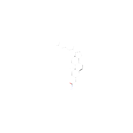 CNC(=O)CC1CCC2(C)C(=CCC3C2CCC2(C)C(C(C)CCCC(C)C)CCC32)C1